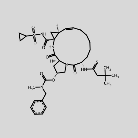 CN(Cc1ccccc1)C(=O)O[C@@H]1C[C@H]2C(=O)N[C@]3(C(=O)NS(=O)(=O)C4CC4)C[C@H]3/C=C\CCCCC[C@H](NC(=S)CC(C)(C)C)C(=O)N2C1